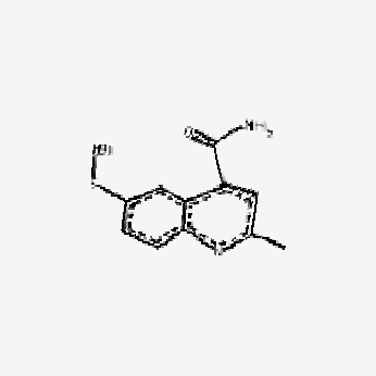 Cc1cc(C(N)=O)c2cc(SC(C)(C)C)ccc2n1